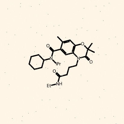 CCNC(=O)CCCN1C(=O)C(C)(C)Oc2cc(C)c(C(=O)N(C(C)C)C3CCCCC3)cc21